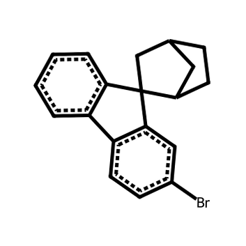 Brc1ccc2c(c1)C1(CC3CCC1C3)c1ccccc1-2